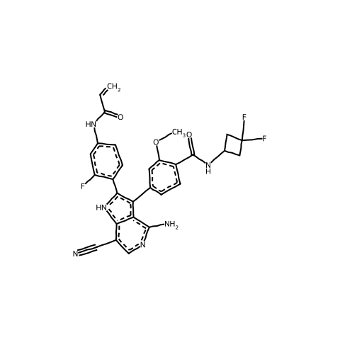 C=CC(=O)Nc1ccc(-c2[nH]c3c(C#N)cnc(N)c3c2-c2ccc(C(=O)NC3CC(F)(F)C3)c(OC)c2)c(F)c1